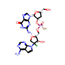 Nc1nc2c(ncn2[C@@H]2O[C@H](CO)C[C@H]2O[P@](=O)(S)OC[C@H]2OCC(F)(n3ccc4c(N)ncnc43)[C@@H]2O)c(=O)[nH]1